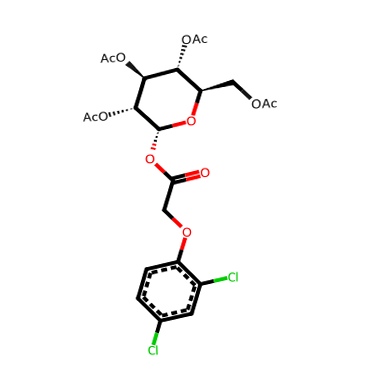 CC(=O)OC[C@H]1O[C@H](OC(=O)COc2ccc(Cl)cc2Cl)[C@H](OC(C)=O)[C@@H](OC(C)=O)[C@@H]1OC(C)=O